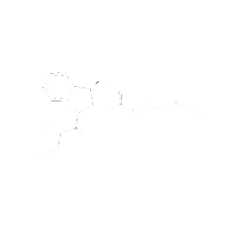 CCCCNC(=O)O[C@H]1[C@H](C)c2ccccc2N1C(=O)[C@@H](N)CC